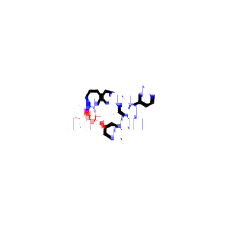 CC(C)(C)OC(=O)N1CCCC2(CCN(c3cc(Nc4cc(OC(F)(F)F)ccn4)nc(-c4cccnc4)n3)C2)C1